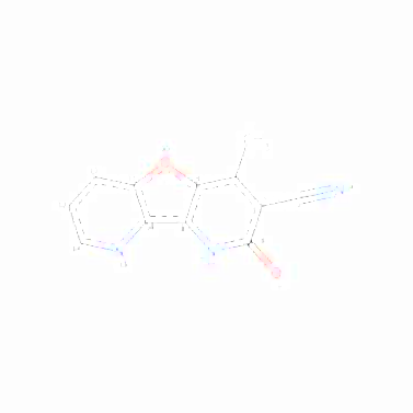 Cc1c(C#N)c(=O)[nH]c2c1oc1cccnc12